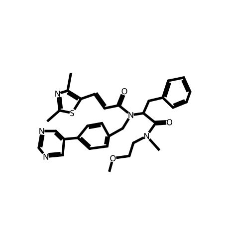 COCCN(C)C(=O)C(Cc1ccccc1)N(Cc1ccc(-c2cncnc2)cc1)C(=O)C=Cc1sc(C)nc1C